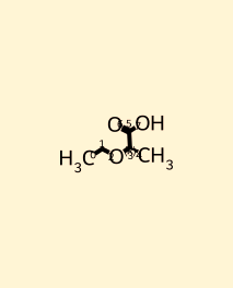 CCO[C@H](C)C(=O)O